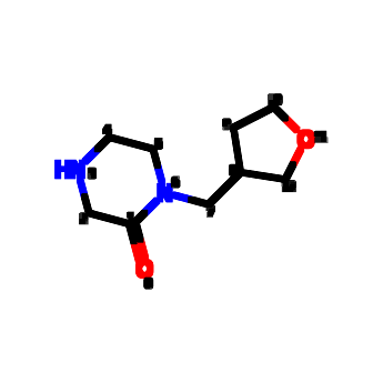 O=C1CNCCN1CC1CCOC1